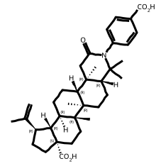 C=C(C)[C@@H]1CC[C@]2(C(=O)O)CC[C@]3(C)[C@H](CC[C@@H]4[C@@]5(C)CC(=O)N(c6ccc(C(=O)O)cc6)C(C)(C)[C@@H]5CC[C@]43C)[C@@H]12